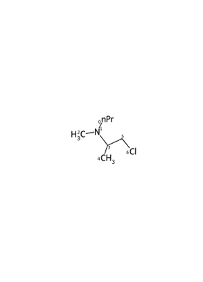 CCCN(C)C(C)CCl